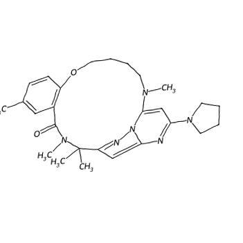 Cc1ccc2c(c1)C(=O)N(C)C(C)(C)c1cc3nc(N4CCCC4)cc(n3n1)N(C)CCCCO2